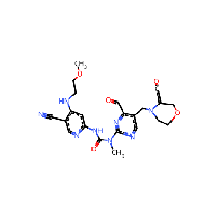 COCCNc1cc(NC(=O)N(C)c2ncc(CN3CCOCC3=C=O)c(C=O)n2)ncc1C#N